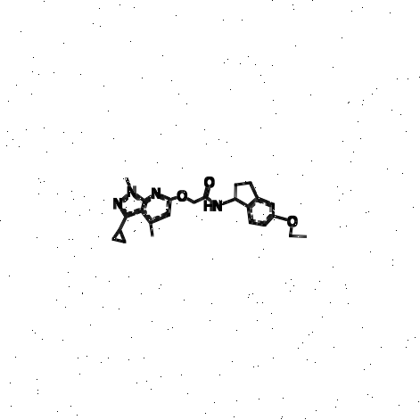 CCOc1ccc2c(c1)CCC2NC(=O)COc1cc(C)c2c(C3CC3)nn(C)c2n1